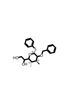 C[C@@H]1C(C(O)CO)O[C@H](Sc2ccccc2)C(OCc2ccccc2)[C@H]1C